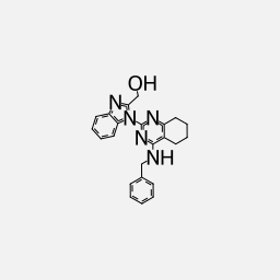 OCc1nc2ccccc2n1-c1nc2c(c(NCc3ccccc3)n1)CCCC2